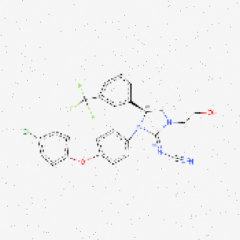 N#C/N=C1\N(CCO)C[C@H](c2cccc(C(F)(F)F)c2)N1c1ccc(Oc2ccc(Cl)cc2)cc1